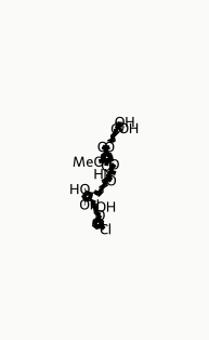 COc1cc(C(=O)OCCCCON(O)O)ccc1OC(=O)C(C)NC(=O)CCC/C=C\C[C@@H]1[C@@H](/C=C/[C@@H](O)COc2cccc(Cl)c2)[C@H](O)C[C@@H]1O